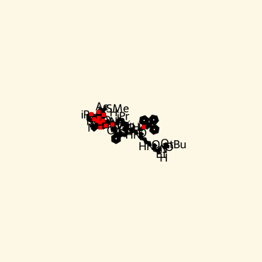 CCC(CNC(=O)OC(C)(C)C)CC(=O)NCCCCC(=O)N[C@@H](CCC(=O)CC(c1ccccc1)(c1ccccc1)c1ccccc1)C(=O)C[C@@H](Cc1cn(C(=O)OC(C)(C)C)c2ccccc12)C(=O)N[C@@H](C)C(=O)C[C@H](C(=O)NCC(=O)C[C@@H](Cc1cncn1C(c1ccccc1)(c1ccccc1)c1ccccc1)C(=O)N[C@@H](CC(C)C)C(=O)C[C@@H](CCSC)C(C)=O)C(C)C